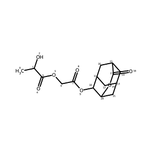 CC(O)C(=O)OCC(=O)OC1C2CC3CC(C2)C(=O)OC1C3